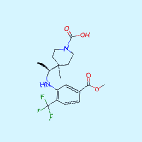 COC(=O)c1ccc(C(F)(F)F)c(N[C@@H](C)C2(C)CCN(C(=O)O)CC2)c1